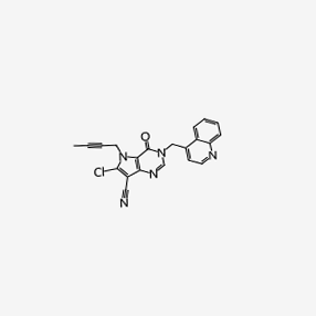 CC#CCn1c(Cl)c(C#N)c2ncn(Cc3ccnc4ccccc34)c(=O)c21